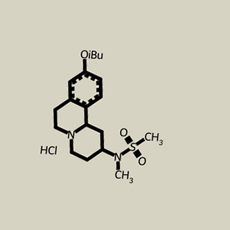 CC(C)COc1ccc2c(c1)CCN1CCC(N(C)S(C)(=O)=O)CC21.Cl